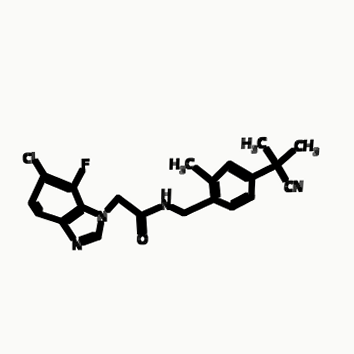 Cc1cc(C(C)(C)C#N)ccc1CNC(=O)Cn1cnc2ccc(Cl)c(F)c21